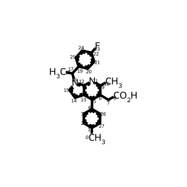 Cc1ccc(-c2c(CC(=O)O)c(C)nc3c2ccn3C(C)c2ccc(F)cc2)cc1